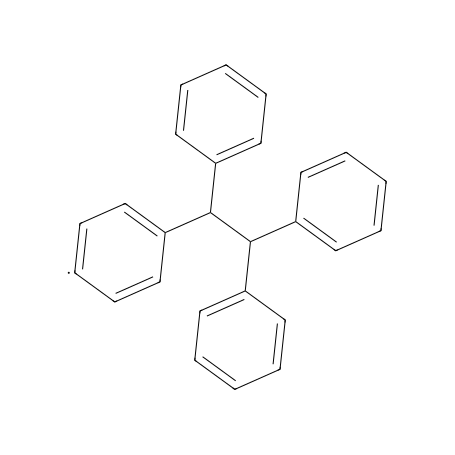 [c]1ccc(C(c2ccccc2)C(c2ccccc2)c2ccccc2)cc1